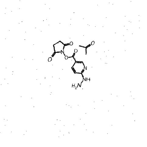 CC(C)=O.NNc1ccc(C(=O)ON2C(=O)CCC2=O)cn1